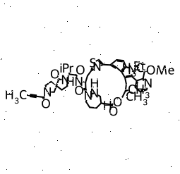 CC#CC(=O)N1CC[C@@]2(CCN(C(C(=O)N[C@H]3Cc4nc(cs4)-c4ccc5c(c4)c(c(-c4cccnc4[C@H](C)OC)n5CC)CC(C)(C)COC(=O)[C@@H]4CCCN(NC4)C3=O)C(C)C)C2=O)C1